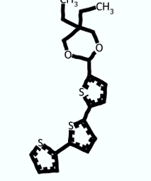 CCC1(CC)COC(c2ccc(-c3ccc(-c4cccs4)s3)s2)OC1